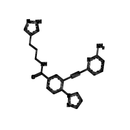 Nc1cccc(C#Cc2cc(C(=O)NCCCc3cn[nH]c3)ccc2-n2cccn2)n1